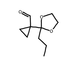 CCCC1(C2(C=O)CC2)OCCO1